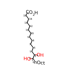 CCCCCCCCC(O)C(O)CCCCCCCCCCCC(=O)O